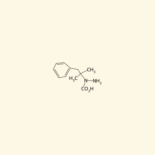 CC(C)(Cc1ccccc1)N(N)C(=O)O